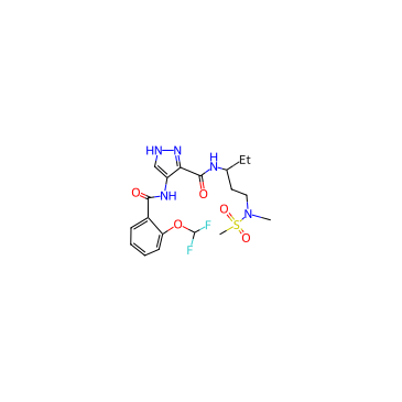 CCC(CCN(C)S(C)(=O)=O)NC(=O)c1n[nH]cc1NC(=O)c1ccccc1OC(F)F